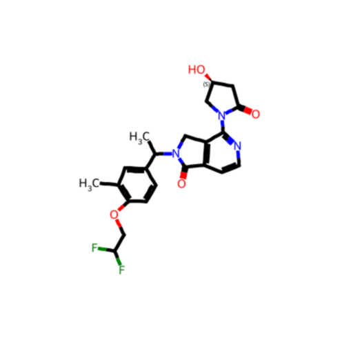 Cc1cc(C(C)N2Cc3c(ccnc3N3C[C@@H](O)CC3=O)C2=O)ccc1OCC(F)F